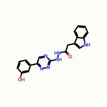 O=C(Cc1c[nH]c2ccccc12)NNc1ncc(-c2cccc(O)c2)nn1